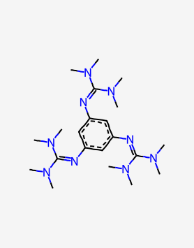 CN(C)C(=Nc1cc(N=C(N(C)C)N(C)C)cc(N=C(N(C)C)N(C)C)c1)N(C)C